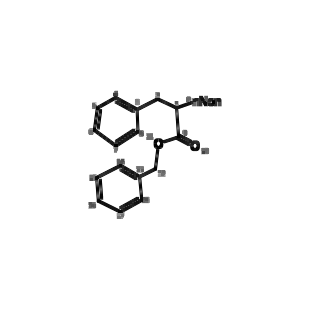 CCCCCCCCCC(Cc1ccccc1)C(=O)OCc1ccccc1